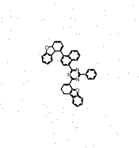 C1=CC2Oc3ccccc3C2C(c2ccc(-c3nc(C4=CCCc5c4oc4ccccc54)nc(-c4ccccc4)n3)c3ccccc23)=C1